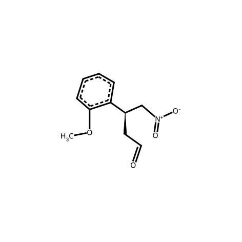 COc1ccccc1[C@H](CC=O)C[N+](=O)[O-]